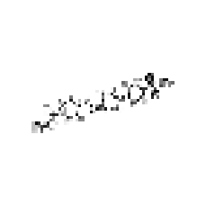 CC(C)OC(=O)N1CCC(COc2ccc(-c3ccc(S(=O)(=O)C(C)C)cc3)cc2)CC1